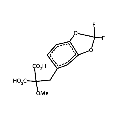 COC(Cc1ccc2c(c1)OC(F)(F)O2)(C(=O)O)C(=O)O